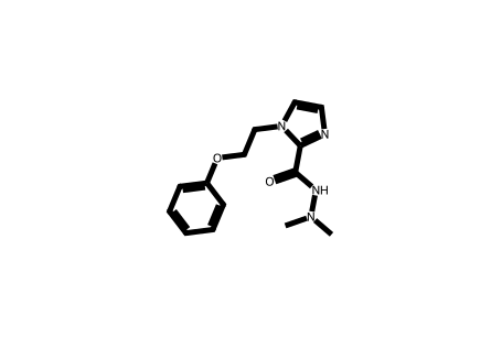 CN(C)NC(=O)c1nccn1CCOc1ccccc1